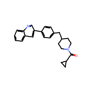 O=C(C1CC1)N1CCC(Cc2ccc(-c3cnc4ccccc4c3)cc2)CC1